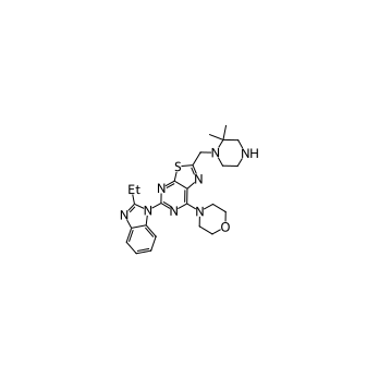 CCc1nc2ccccc2n1-c1nc(N2CCOCC2)c2nc(CN3CCNCC3(C)C)sc2n1